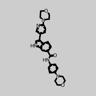 O=C(Nc1ccc(N2CCOCC2)cc1)c1ccc2c(-c3ccc(N4CCOCC4)nc3)c[nH]c2c1